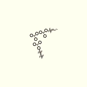 F[B-](F)(F)F.F[B-](F)(F)F.F[B-](F)(F)F.[Au+3].c1ccc(P(c2ccccc2)c2ccccc2)cc1.c1ccc(P(c2ccccc2)c2ccccc2)cc1.c1ccc(P(c2ccccc2)c2ccccc2)cc1